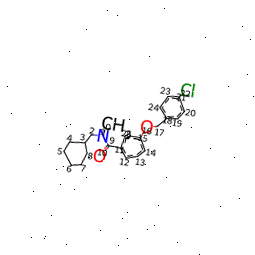 CN(CC1CCCCC1)C(=O)c1cccc(OCc2ccc(Cl)cc2)c1